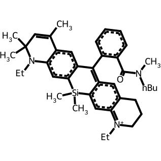 CCCCN(C)C(=O)c1ccccc1C1=c2cc3c(cc2[Si](C)(C)c2cc4c(cc21)C(C)=CC(C)(C)N4CC)=[N+](CC)CCC3